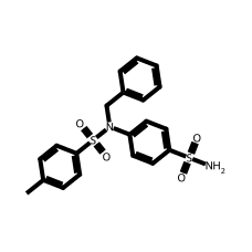 Cc1ccc(S(=O)(=O)N(Cc2ccccc2)c2ccc(S(N)(=O)=O)cc2)cc1